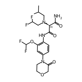 CC(C)CN(CC(F)F)[C@@H](C(N)=O)C(=O)Nc1ccc(N2CCOCC2=O)cc1OC(F)F